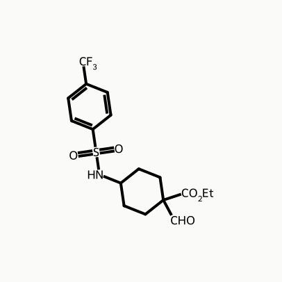 CCOC(=O)C1(C=O)CCC(NS(=O)(=O)c2ccc(C(F)(F)F)cc2)CC1